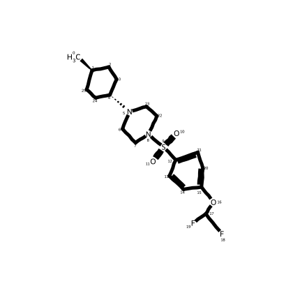 C[C@H]1CC[C@H](N2CCN(S(=O)(=O)c3ccc(OC(F)F)cc3)CC2)CC1